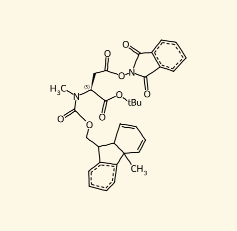 CN(C(=O)OCC1c2ccccc2C2(C)C=CC=CC12)[C@@H](CC(=O)ON1C(=O)c2ccccc2C1=O)C(=O)OC(C)(C)C